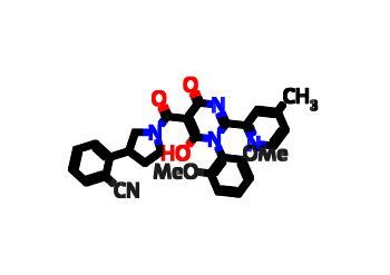 COc1cccc(OC)c1-n1c(-c2cc(C)ccn2)nc(=O)c(C(=O)N2CCC(c3ccccc3C#N)C2)c1O